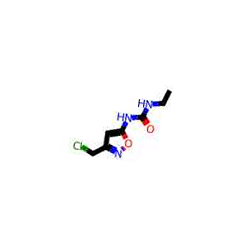 CCNC(=O)Nc1cc(CCl)no1